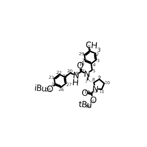 Cc1ccc(CN(C[C@@H]2CCCN2C(=O)OC(C)(C)C)C(=O)NCc2ccc(OCC(C)C)cc2)cc1